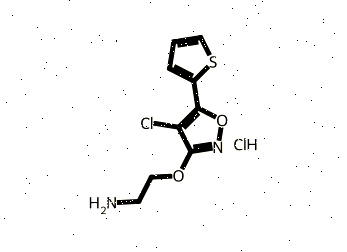 Cl.NCCOc1noc(-c2cccs2)c1Cl